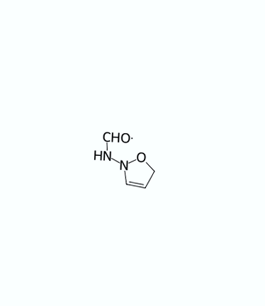 O=[C]NN1C=CCO1